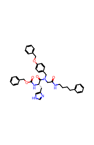 O=C(CN(Cc1ccc(OCc2ccccc2)cc1)C(=O)[C@H](Cc1c[nH]cn1)NC(=O)OCc1ccccc1)NCCCCc1ccccc1